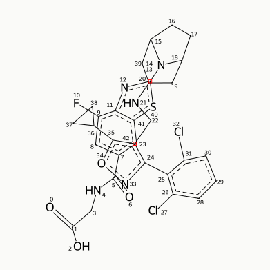 O=C(O)CNC(=O)c1cc(F)c2nc(N3C4CCC3CC(NCc3c(-c5c(Cl)cccc5Cl)noc3C3CC3)C4)sc2c1